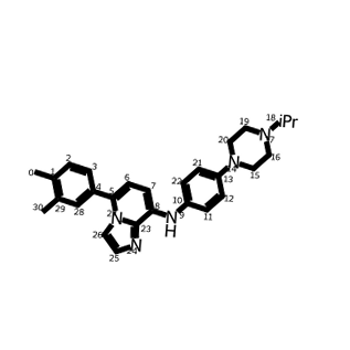 Cc1ccc(-c2ccc(Nc3ccc(N4CCN(C(C)C)CC4)cc3)c3nccn23)cc1C